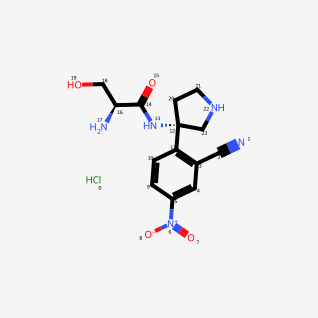 Cl.N#Cc1cc([N+](=O)[O-])ccc1[C@@]1(NC(=O)[C@@H](N)CO)CCNC1